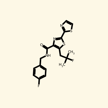 CC(C)(F)Cc1sc(-c2nccs2)nc1C(=O)NCc1ccc(F)cc1